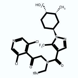 C[C@@H]1C[C@@H](n2ncc(C(=O)N(CC(=O)c3c(Cl)cncc3Cl)CC(C)(C)C)c2C(F)(F)F)CC[C@@H]1C(=O)O